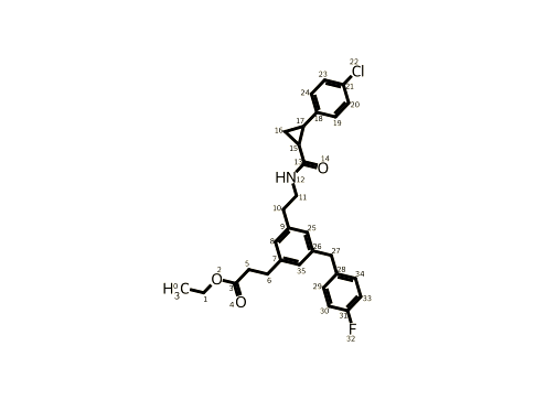 CCOC(=O)CCc1cc(CCNC(=O)C2CC2c2ccc(Cl)cc2)cc(Cc2ccc(F)cc2)c1